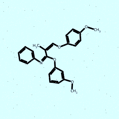 COc1ccc(OC=C(C)/C(=N\c2ccccc2)Oc2cccc(OC)c2)cc1